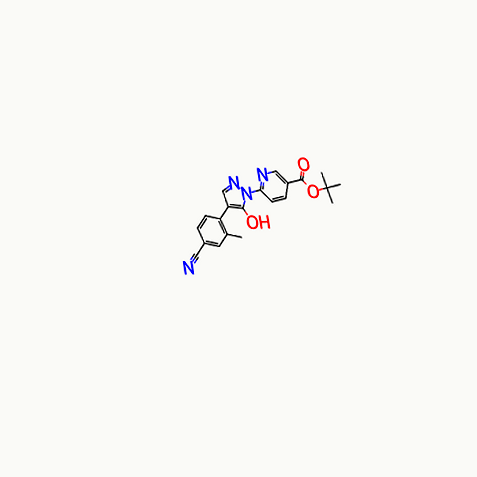 Cc1cc(C#N)ccc1-c1cnn(-c2ccc(C(=O)OC(C)(C)C)cn2)c1O